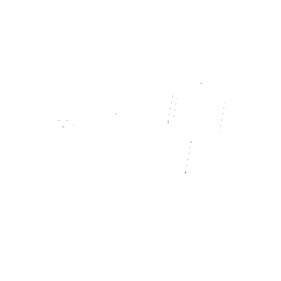 COCOc1ccccc1C(F)F